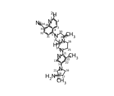 [2H]c1ccc2c(N3C[C@@H]4CN(c5ncc(N6CC[C@@](C)(N)C6)cc5C)CCN4[C@H](C)C3)ccc(C#N)c2n1